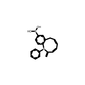 C=C1/C=C\C=C/Cc2cc(B(O)O)ccc2N1c1ccccc1